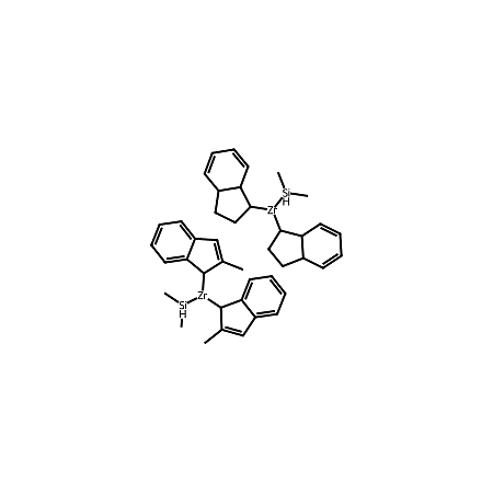 CC1=Cc2ccccc2[CH]1[Zr]([CH]1C(C)=Cc2ccccc21)[SiH](C)C.C[SiH](C)[Zr]([CH]1CCC2C=CC=CC21)[CH]1CCC2C=CC=CC21